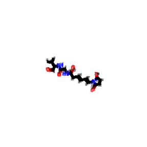 CC(C)C(C=O)NC(=O)CNC(=O)CCCCCN1C(=O)C=CC1=O